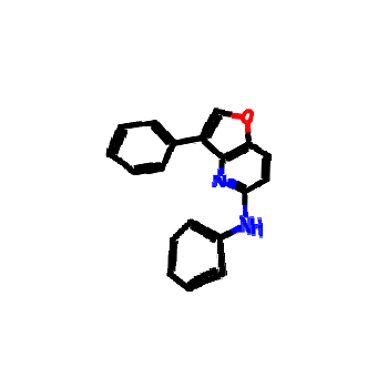 c1ccc(Nc2ccc3occ(-c4ccccc4)c3n2)cc1